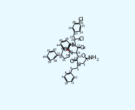 NC(=O)CN(CCc1ccccc1)C(=O)CC1C(=O)N(C(Cl)Cc2ccc(Cl)cc2)CC(=O)N1CCC(c1ccccc1)c1ccccc1